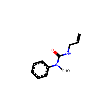 C=CCNC(=O)N([C]=O)c1ccccc1